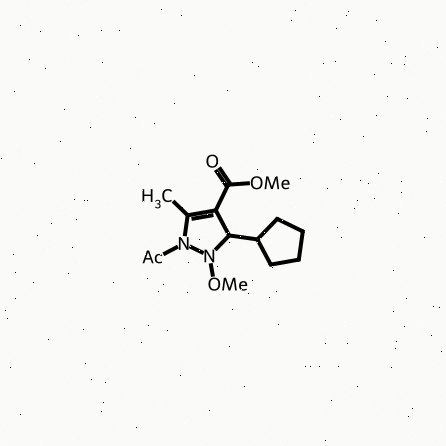 COC(=O)C1=C(C)N(C(C)=O)N(OC)C1C1CCCC1